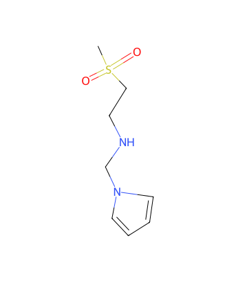 CS(=O)(=O)CCNCn1cccc1